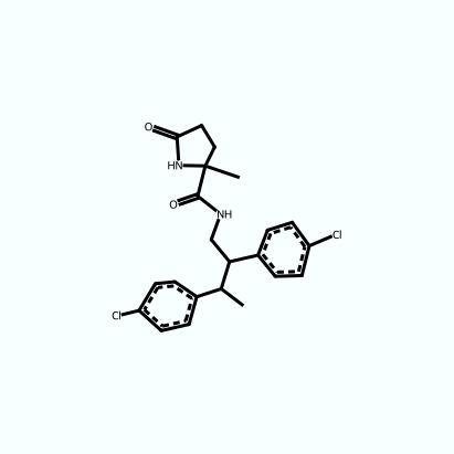 CC(c1ccc(Cl)cc1)C(CNC(=O)C1(C)CCC(=O)N1)c1ccc(Cl)cc1